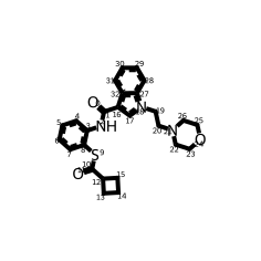 O=C(Nc1ccccc1SC(=O)C1CCC1)c1cn(CCN2CCOCC2)c2ccccc12